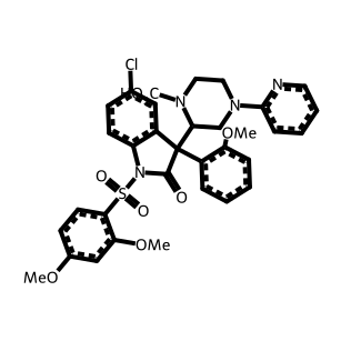 COc1ccc(S(=O)(=O)N2C(=O)C(c3ccccc3OC)(C3CN(c4ccccn4)CCN3C(=O)O)c3cc(Cl)ccc32)c(OC)c1